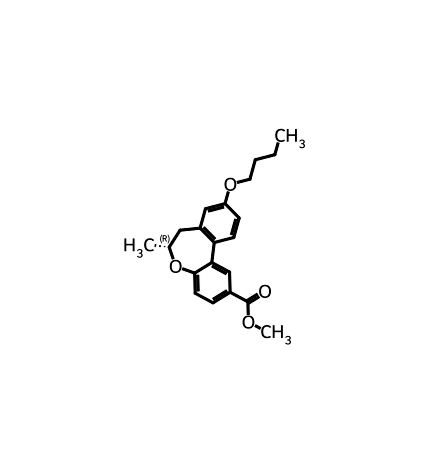 CCCCOc1ccc2c(c1)C[C@@H](C)Oc1ccc(C(=O)OC)cc1-2